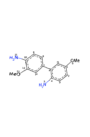 COc1ccc(N)c(-c2ccc(N)c(OC)c2)c1